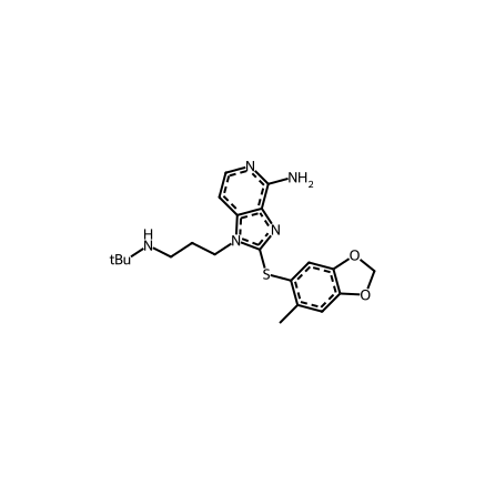 Cc1cc2c(cc1Sc1nc3c(N)nccc3n1CCCNC(C)(C)C)OCO2